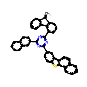 C=C1c2ccccc2-c2c1cccc2-c1nc(-c2ccc3ccccc3c2)nc(-c2ccc3sc4c5ccccc5ccc4c3c2)n1